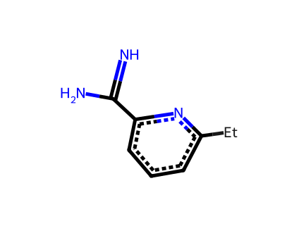 CCc1cccc(C(=N)N)n1